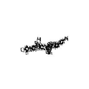 CC(C)(C)OC(=O)N1Cc2cc3c(cc2CC1C(=O)N[C@@H](Cc1ccc(-c2ccc(C#N)cc2)cc1)C(=O)O)NC(=O)[C@H](c1ccc(OCc2ccc(Cl)c(Cl)c2)cc1)O3